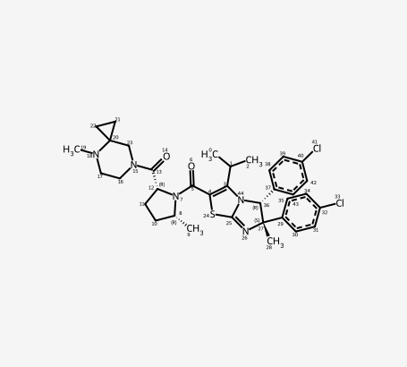 CC(C)C1=C(C(=O)N2[C@H](C)CC[C@@H]2C(=O)N2CCN(C)C3(CC3)C2)SC2=N[C@@](C)(c3ccc(Cl)cc3)[C@@H](c3ccc(Cl)cc3)N21